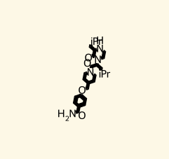 CC(C)CC1NCCN(C(CC(C)C)C(=O)N2CCC(COc3ccc(C(N)=O)cc3)CC2)C1=O